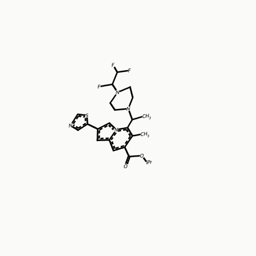 Cc1c(C(=O)OC(C)C)cc2cc(-c3cncs3)cn2c1C(C)N1CCN(C(F)C(F)F)CC1